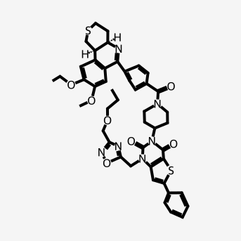 CCCOCc1noc(Cn2c(=O)n(C3CCN(C(=O)c4ccc(C5=N[C@@H]6CCSC[C@@H]6c6cc(OCC)c(OC)cc65)cc4)CC3)c(=O)c3sc(-c4ccccc4)cc32)n1